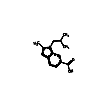 Cc1cc2ccc(C(=O)O)cc2n1CC(C)C